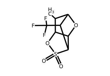 CC1C2OS(=O)(=O)C3C2OC1C3C(F)(F)F